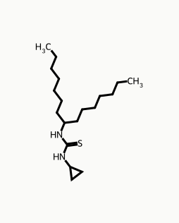 CCCCCCCC(CCCCCCC)NC(=S)NC1CC1